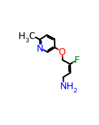 Cc1ccc(OC/C(F)=C\CN)cn1